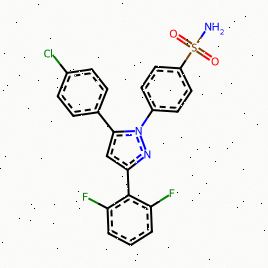 NS(=O)(=O)c1ccc(-n2nc(-c3c(F)cccc3F)cc2-c2ccc(Cl)cc2)cc1